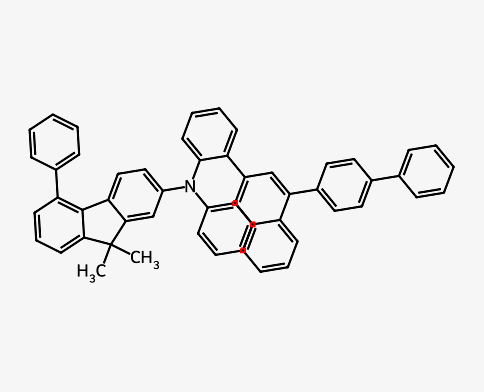 CC1(C)c2cc(N(c3ccccc3)c3ccccc3-c3cc(-c4ccc(-c5ccccc5)cc4)c4ccccc4c3)ccc2-c2c(-c3ccccc3)cccc21